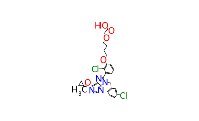 CC1(Oc2ncnc3c2nc(-c2cccc(OCCCCOCC(=O)O)c2Cl)n3Cc2cccc(Cl)c2)CC1